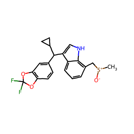 C[S+]([O-])Cc1cccc2c(C(c3ccc4c(c3)OC(F)(F)O4)C3CC3)c[nH]c12